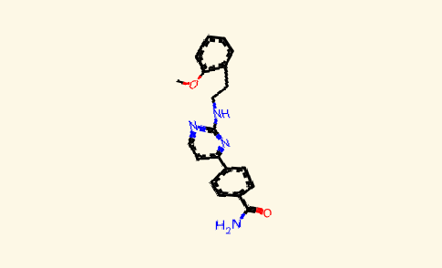 COc1ccccc1CCNc1nccc(-c2ccc(C(N)=O)cc2)n1